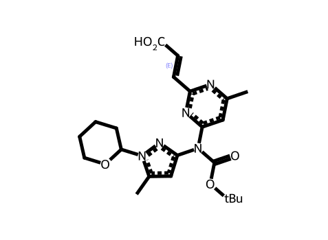 Cc1cc(N(C(=O)OC(C)(C)C)c2cc(C)n(C3CCCCO3)n2)nc(/C=C/C(=O)O)n1